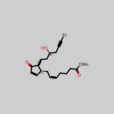 CCC#CC[C@H](O)C/C=C1/C(=O)C=C[C@@H]1C/C=C\CCCC(=O)OC